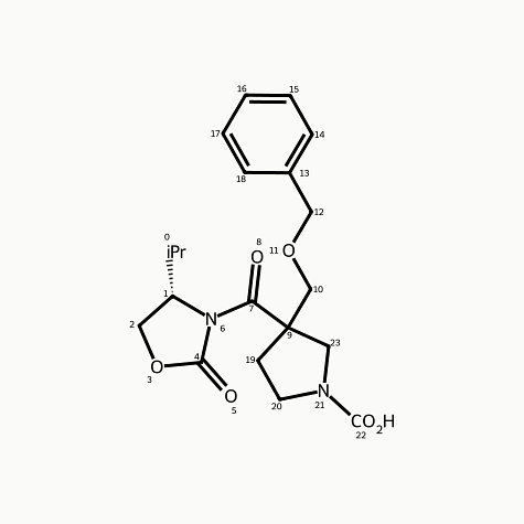 CC(C)[C@H]1COC(=O)N1C(=O)C1(COCc2ccccc2)CCN(C(=O)O)C1